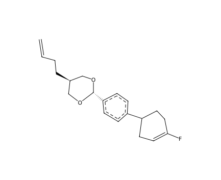 C=CCC[C@H]1CO[C@H](c2ccc(C3CC=C(F)CC3)cc2)OC1